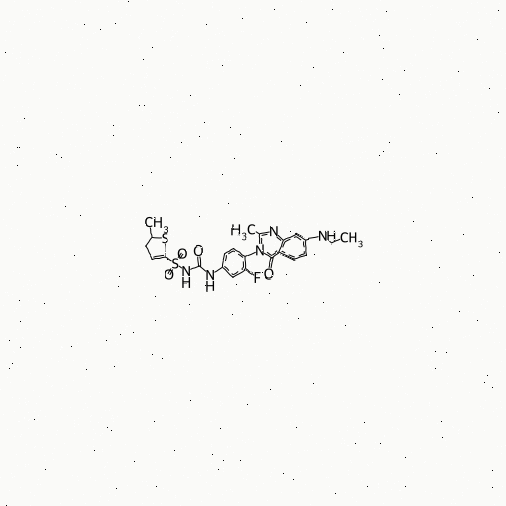 CCNc1ccc2c(=O)n(-c3ccc(NC(=O)NS(=O)(=O)C4=CCC(C)S4)cc3F)c(C)nc2c1